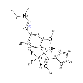 CCN(C)/C=N/c1cc(OC)c(C(O)(C(OC)c2ccco2)C(F)(F)F)cc1C